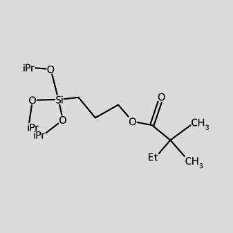 CCC(C)(C)C(=O)OCCC[Si](OC(C)C)(OC(C)C)OC(C)C